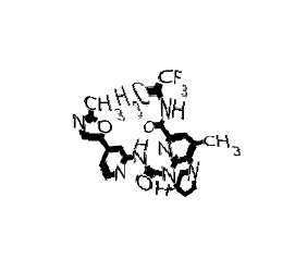 Cc1ncc(-c2ccnc(NC(=O)N3c4nc(C(=O)NC(C)C(F)(F)F)cc(C)c4N4CC[C@H]3C4)c2)o1